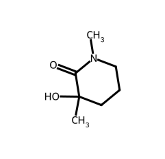 CN1CCCC(C)(O)C1=O